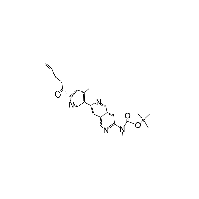 C=CCCC(=O)c1cc(C)c(-c2cc3cnc(N(C)C(=O)OC(C)(C)C)cc3cn2)cn1